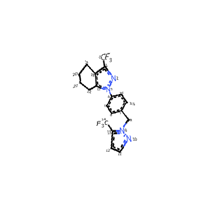 FC(F)(F)c1nn(-c2ccc(Cn3nccc3C(F)(F)F)cc2)c2c1CCCC2